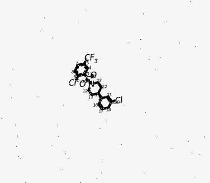 O=S(=O)(c1cc(C(F)(F)F)ccc1Cl)N1CCC(C2C=CCC(Cl)=C2)CC1